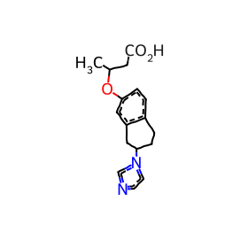 CC(CC(=O)O)Oc1ccc2c(c1)CC(n1ccnc1)CC2